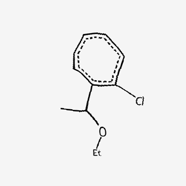 CCOC(C)c1ccccc1Cl